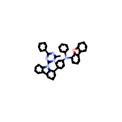 Cc1nc(-c2ccccc2)nc(-n2c3ccccc3c3cccc(-c4ccc(N(c5ccccc5)c5cccc6c5oc5ccccc56)cc4)c32)n1